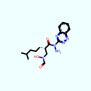 CC(C)CCC[C@@H](CN(O)C=O)C(=O)N(N)c1nnc2ccccc2n1